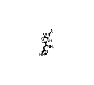 CSCC[C@H](NC(=O)C(N)Cc1c[nH]cn1)C(=O)O